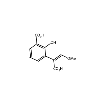 COC=C(C(=O)O)c1c[c]cc(C(=O)O)c1O